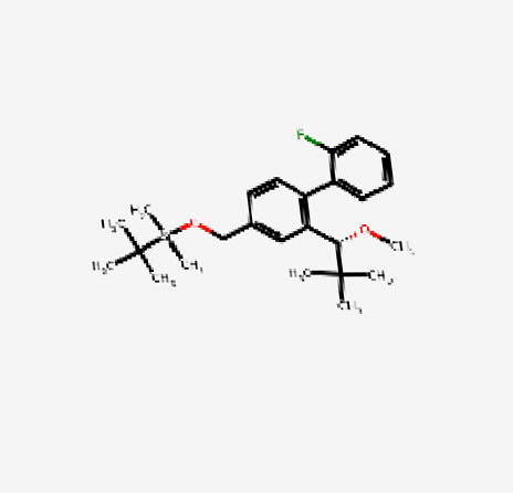 CO[C@@H](c1cc(CO[Si](C)(C)C(C)(C)C)ccc1-c1ccccc1F)C(C)(C)C